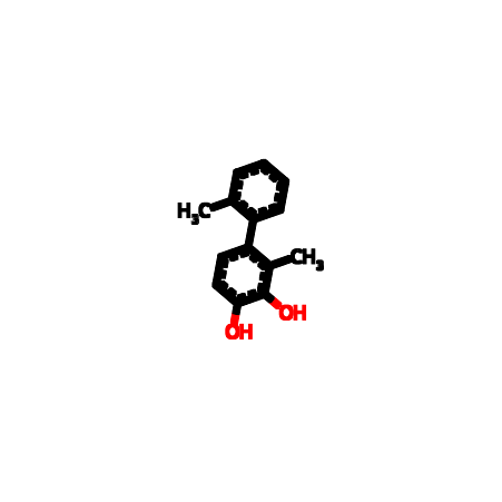 Cc1ccccc1-c1ccc(O)c(O)c1C